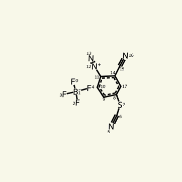 F[B-](F)(F)F.N#CSc1ccc([N+]#N)c(C#N)c1